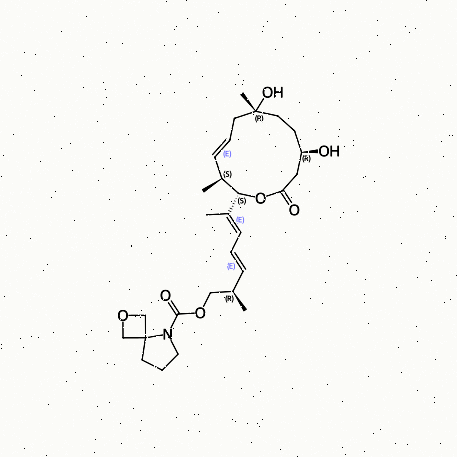 C/C(=C\C=C\[C@@H](C)COC(=O)N1CCCC12COC2)[C@H]1OC(=O)C[C@H](O)CC[C@@](C)(O)C/C=C/[C@@H]1C